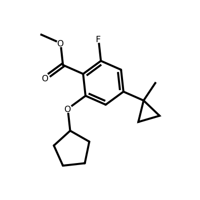 COC(=O)c1c(F)cc(C2(C)CC2)cc1OC1CCCC1